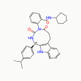 CC(C)c1ccc([C@H]2NC(=O)N(c3ccccc3C(=O)NC3CCCCC3)C(=O)CCc3c2[nH]c2ccccc32)cc1